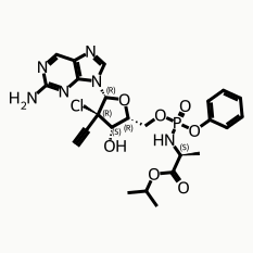 C#C[C@@]1(Cl)[C@@H](O)[C@@H](COP(=O)(N[C@@H](C)C(=O)OC(C)C)Oc2ccccc2)O[C@H]1n1cnc2cnc(N)nc21